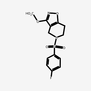 O=C(O)Oc1noc2c1CN(S(=O)(=O)c1ccc(F)cc1)CC2